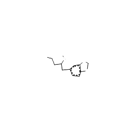 CCCC(Cc1ccc2c(c1)OCO2)NC